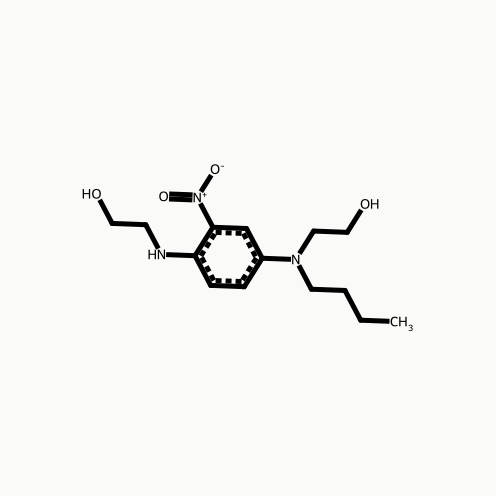 CCCCN(CCO)c1ccc(NCCO)c([N+](=O)[O-])c1